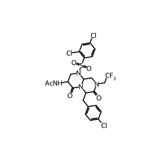 CC(=O)NC1CN(S(=O)(=O)c2ccc(Cl)cc2Cl)C2CN(CC(F)(F)F)C(=O)C(Cc3ccc(Cl)cc3)N2C1=O